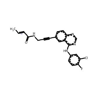 C/C=C/C(=O)NCC#Cc1ccc2ncnc(Nc3ccc(F)c(Cl)c3)c2c1